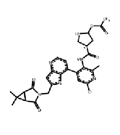 Cc1nc(Cl)cc(-c2ccnc3cc(CN4C(=O)C5C(C4=O)C5(C)C)sc23)c1NC(=O)[C@H]1CNC(OC(=O)C(F)(F)F)C1